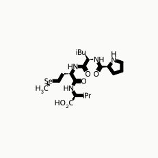 CC[C@H](C)[C@H](NC(=O)[C@@H]1CCCN1)C(=O)N[C@@H](CC[Se]C)C(=O)N[C@H](C(=O)O)C(C)C